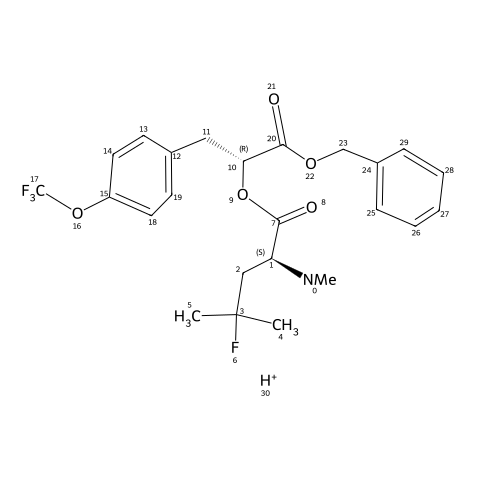 CN[C@@H](CC(C)(C)F)C(=O)O[C@H](Cc1ccc(OC(F)(F)F)cc1)C(=O)OCc1ccccc1.[H+]